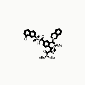 C=C(c1cc(C(=O)NS(=O)(=O)c2ccc3cccc(Cl)c3c2)ccc1-c1c(C(=O)N(CCCC)CCCC)ncn1OC)N1CCc2ccccc2C1